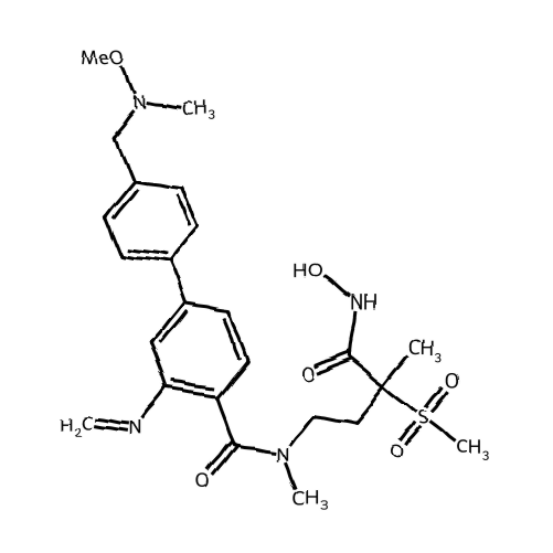 C=Nc1cc(-c2ccc(CN(C)OC)cc2)ccc1C(=O)N(C)CCC(C)(C(=O)NO)S(C)(=O)=O